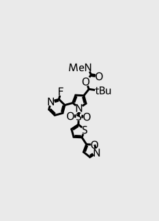 CNC(=O)OC(c1cc(-c2cccnc2F)n(S(=O)(=O)c2ccc(-c3ccno3)s2)c1)C(C)(C)C